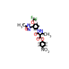 CC1=NN(c2ccc(OC(F)F)c(-c3noc(C)n3)c2)C(=O)C1C(=O)Oc1ccc([N+](=O)[O-])cc1